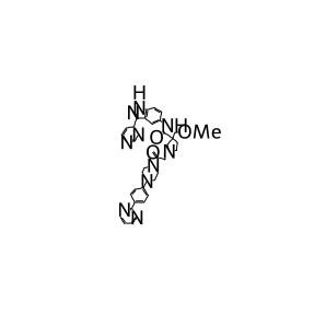 COCC1(C(=O)Nc2ccc3[nH]nc(-c4ccncn4)c3c2)CCN(CC(=O)N2CCN(c3ccc(-c4ncccn4)cc3)CC2)C1